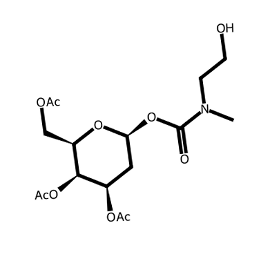 CC(=O)OC[C@H]1O[C@@H](OC(=O)N(C)CCO)C[C@@H](OC(C)=O)[C@H]1OC(C)=O